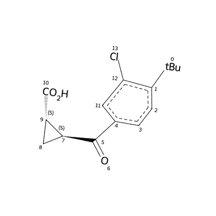 CC(C)(C)c1ccc(C(=O)[C@H]2C[C@@H]2C(=O)O)cc1Cl